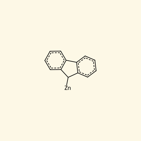 [Zn][CH]1c2ccccc2-c2ccccc21